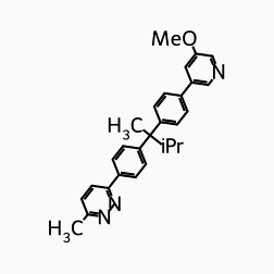 COc1cncc(-c2ccc(C(C)(c3ccc(-c4ccc(C)nn4)cc3)C(C)C)cc2)c1